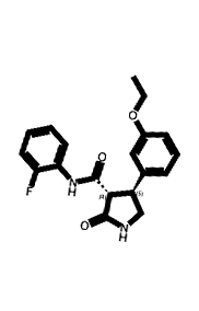 CCOc1cccc([C@H]2CNC(=O)[C@@H]2C(=O)Nc2ccccc2F)c1